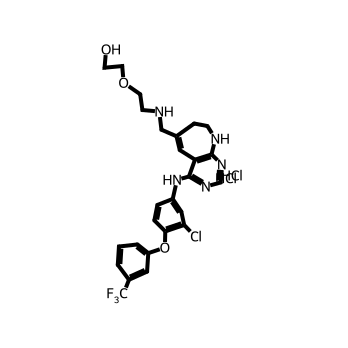 Cl.Cl.OCCOCCNCC1=Cc2c(ncnc2Nc2ccc(Oc3cccc(C(F)(F)F)c3)c(Cl)c2)NCC1